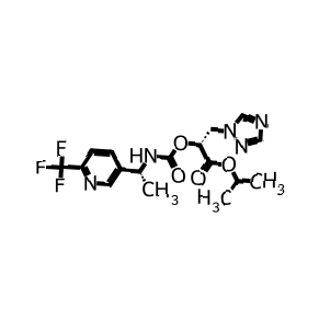 CC(C)OC(=O)[C@@H](Cn1cncn1)OC(=O)N[C@H](C)c1ccc(C(F)(F)F)nc1